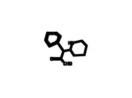 O=CC(=O)C(c1ccccc1)C1CCCCN1